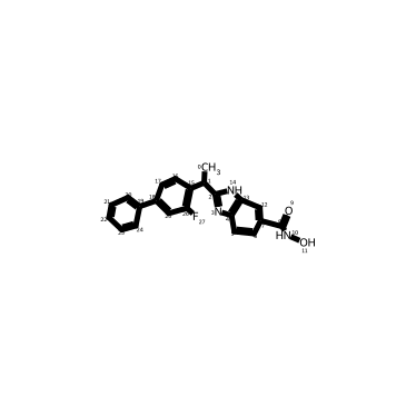 CC(c1nc2ccc(C(=O)NO)cc2[nH]1)c1ccc(-c2ccccc2)cc1F